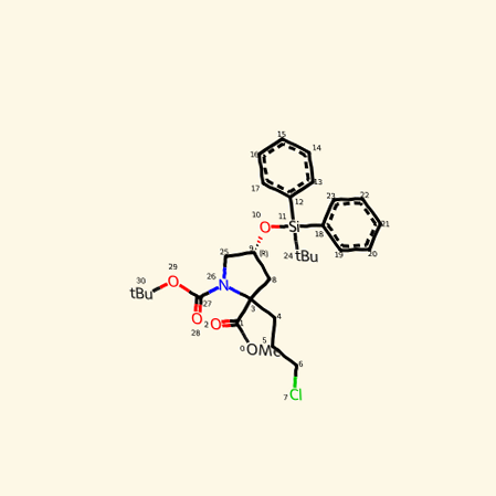 COC(=O)C1(CCCCl)C[C@@H](O[Si](c2ccccc2)(c2ccccc2)C(C)(C)C)CN1C(=O)OC(C)(C)C